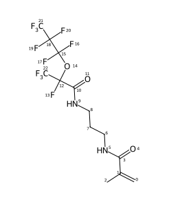 C=C(C)C(=O)NCCCNC(=O)C(F)(OC(F)(F)C(F)(F)C(F)(F)F)C(F)(F)F